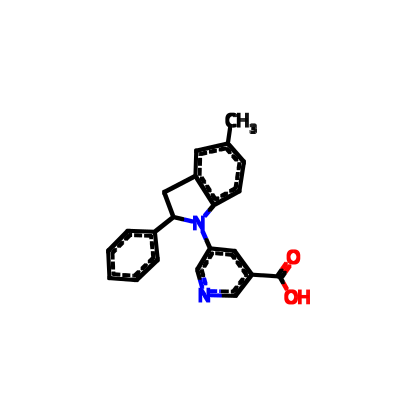 Cc1ccc2c(c1)CC(c1ccccc1)N2c1cncc(C(=O)O)c1